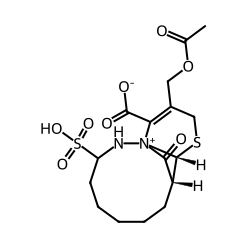 CC(=O)OCC1=C(C(=O)[O-])[N+]23NC(S(=O)(=O)O)CCCCC[C@H](C2=O)[C@H]3SC1